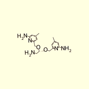 Cc1cc(N)nc(COC[C@H](CN)OCc2cc(C)cc(N)n2)c1